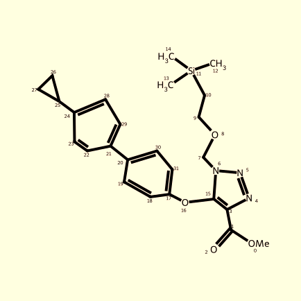 COC(=O)c1nnn(COCC[Si](C)(C)C)c1Oc1ccc(-c2ccc(C3CC3)cc2)cc1